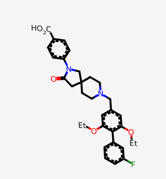 CCOc1cc(CN2CCC3(CC2)CC(=O)N(c2ccc(C(=O)O)cc2)C3)cc(OCC)c1-c1cccc(F)c1